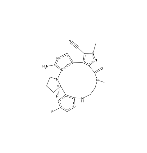 CN1CCNc2ccc(F)cc2[C@H]2CCCN2c2cc(cnc2N)-c2c(nn(C)c2C#N)C1=O